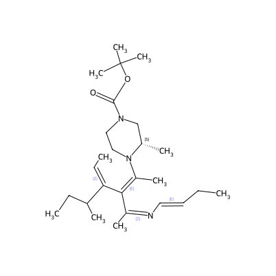 C\C=C(C(/C(C)=N\C=C\CC)=C(/C)N1CCN(C(=O)OC(C)(C)C)C[C@@H]1C)\C(C)CC